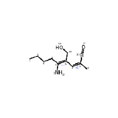 CCCC/C(N)=C(/C=C(/C)B=O)CO